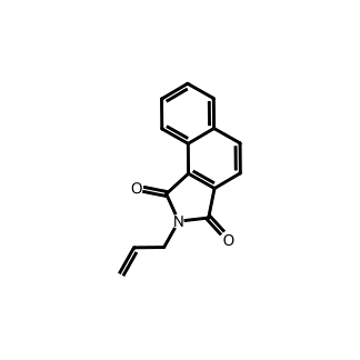 C=CCN1C(=O)c2ccc3ccccc3c2C1=O